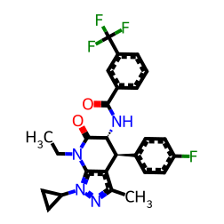 CCN1C(=O)[C@H](NC(=O)c2cccc(C(F)(F)F)c2)[C@@H](c2ccc(F)cc2)c2c(C)nn(C3CC3)c21